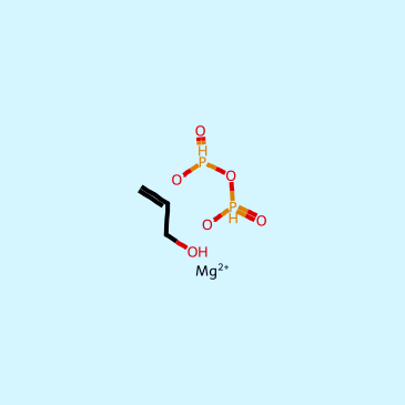 C=CCO.O=[PH]([O-])O[PH](=O)[O-].[Mg+2]